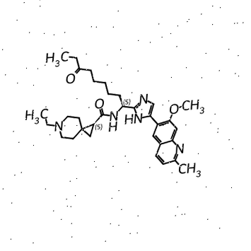 CCC(=O)CCCCC[C@H](NC(=O)[C@H]1CC12CCN(CC)CC2)c1ncc(-c2cc3ccc(C)nc3cc2OC)[nH]1